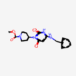 COC(=O)N1CCC(n2c(=O)cc(NCc3ccccc3)[nH]c2=O)CC1